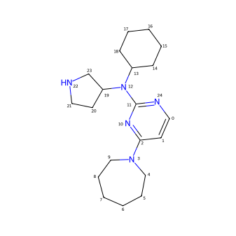 c1cc(N2CCCCCC2)nc(N(C2CCCCC2)C2CCNC2)n1